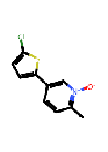 Cc1ccc(-c2ccc(Cl)s2)c[n+]1[O-]